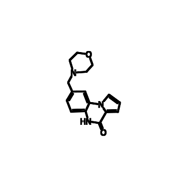 O=c1[nH]c2ccc(CN3CCOCC3)cc2n2cccc12